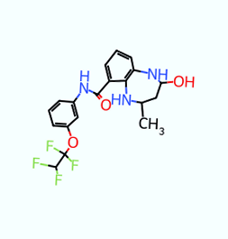 CC1CC(O)Nc2cccc(C(=O)Nc3cccc(OC(F)(F)C(F)F)c3)c2N1